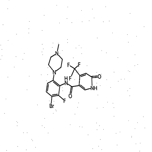 CN1CCN(c2ccc(Br)c(F)c2NC(=O)c2c[nH]c(=O)cc2C(F)(F)F)CC1